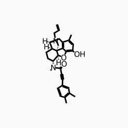 C=CCN1CC[C@]23c4c5c(C)cc(O)c4O[C@H]2[C@H](N(C)C(=O)C#Cc2ccc(C)c(C)c2)CC[C@H]3[C@H]1C5